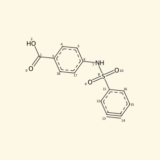 O=C(O)c1ccc(NS(=O)(=O)c2cc#ccc2)cc1